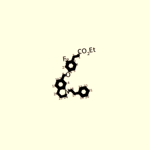 CCOC(=O)CCc1ccc(OCc2ccc3c(c2)N(CCc2ccccc2)CCC3)cc1F